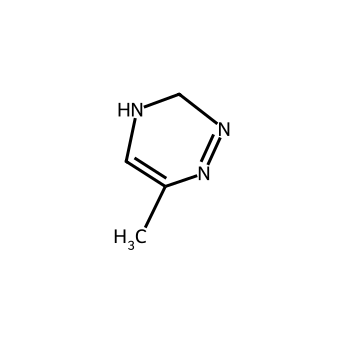 CC1=CNCN=N1